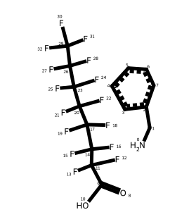 NCc1ccccc1.O=C(O)C(F)(F)C(F)(F)C(F)(F)C(F)(F)C(F)(F)C(F)(F)C(F)(F)F